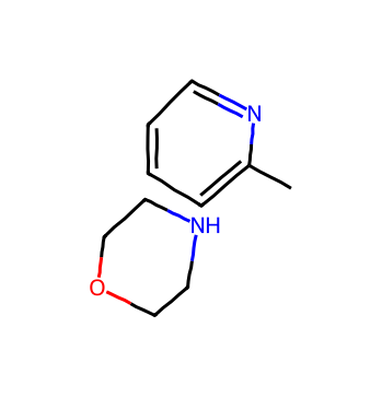 C1COCCN1.Cc1ccccn1